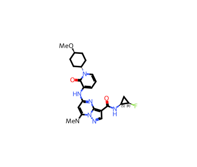 CNc1cc(Nc2cccn([C@H]3CC[C@H](OC)CC3)c2=O)nc2c(C(=O)N[C@H]3C[C@H]3F)cnn12